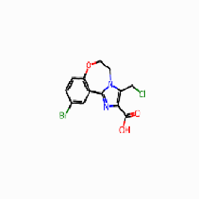 O=C(O)c1nc2n(c1CCl)CCOc1ccc(Br)cc1-2